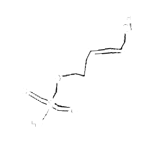 O=S(=O)(O)OCC=CCl